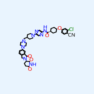 N#Cc1ccc(O[C@H]2CC[C@H](C(=O)Nc3cnc(N4CCC(CN5CCN(c6ccc7c(c6)C(=O)N(C6CCC(=O)NC6=O)C7)CC5)CC4)cn3)CC2)cc1Cl